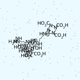 CC(NC(=O)C(CO)NC(=O)C(NC(=O)C(CCCNC(=N)N)NC(=O)C(NC(=O)C(NC(=O)CCCCCNC(=O)CN1CCN(CC(=O)O)CCN(CC(=O)O)CCN(CC(=O)O)CC1)[C@H](C)O)C(C)C)[C@H](C)O)C(=O)NC(CC(=O)O)C(=O)O